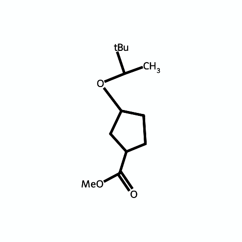 COC(=O)C1CCC(OC(C)C(C)(C)C)C1